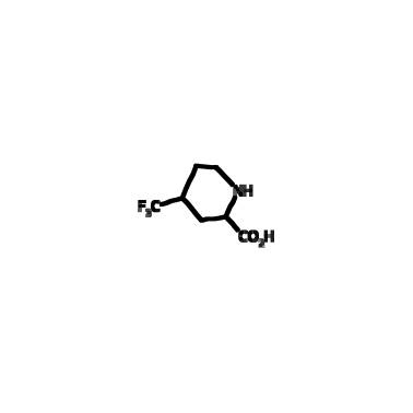 O=C(O)C1CC(C(F)(F)F)CCN1